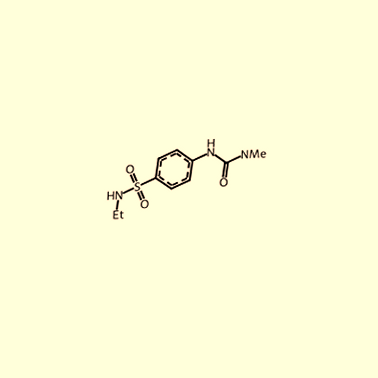 CCNS(=O)(=O)c1ccc(NC(=O)NC)cc1